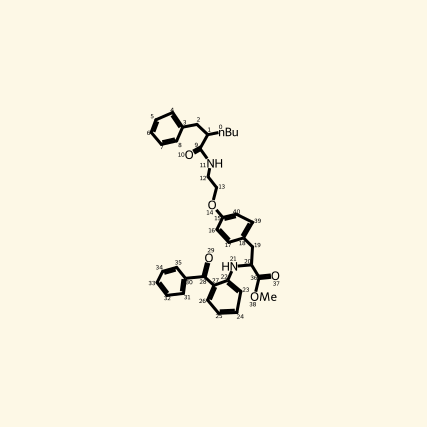 CCCCC(Cc1ccccc1)C(=O)NCCOc1ccc(CC(Nc2ccccc2C(=O)c2ccccc2)C(=O)OC)cc1